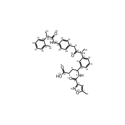 Cc1cc(C(=O)NC(CCC(=O)O)c2cccc(N(C)C(=O)Cc3ccc(NC(=O)N(C)c4ccccc4C)cc3)c2)no1